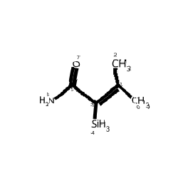 CC(C)=C([SiH3])C(N)=O